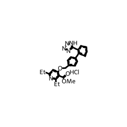 CCc1cc(OCc2ccc(-c3ccccc3-c3nnn[nH]3)cc2)c(C(=O)OC)c(CC)n1.Cl